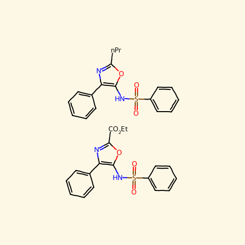 CCCc1nc(-c2ccccc2)c(NS(=O)(=O)c2ccccc2)o1.CCOC(=O)c1nc(-c2ccccc2)c(NS(=O)(=O)c2ccccc2)o1